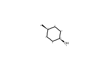 [CH2][C@H]1CC[C@@H](O)CC1